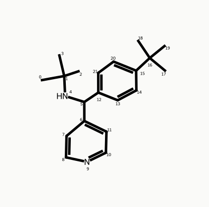 CC(C)(C)NC(c1ccncc1)c1ccc(C(C)(C)C)cc1